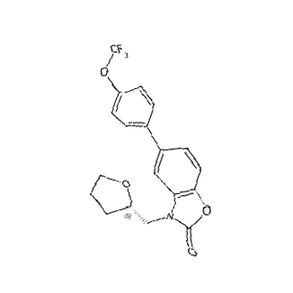 O=c1oc2ccc(-c3ccc(OC(F)(F)F)cc3)cc2n1C[C@@H]1CCCO1